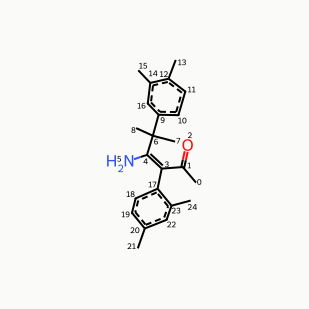 CC(=O)/C(=C(/N)C(C)(C)c1ccc(C)c(C)c1)c1ccc(C)cc1C